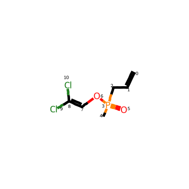 C=CCP(C)(=O)OC=C(Cl)Cl